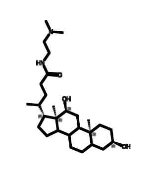 CC(CCC(=O)NCCN(C)C)[C@H]1CCC2C3CCC4C[C@H](O)CC[C@]4(C)C3C[C@H](O)[C@@]21C